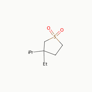 CCC1(C(C)C)CCS(=O)(=O)C1